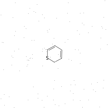 [C]1=CC=CCS1